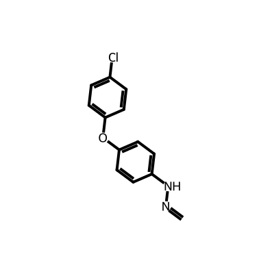 C=NNc1ccc(Oc2ccc(Cl)cc2)cc1